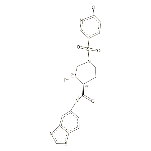 O=C(Nc1ccc2scnc2c1)[C@@H]1CCN(S(=O)(=O)c2ccc(Cl)nc2)C[C@H]1F